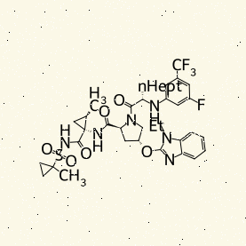 CCCCCCC[C@H](Nc1cc(F)cc(C(F)(F)F)c1)C(=O)N1C[C@H](Oc2nc3ccccc3n2CC)C[C@H]1C(=O)N[C@]1(C(=O)NS(=O)(=O)C2(C)CC2)C[C@H]1C